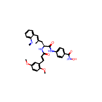 C=Nc1ccccc1/C=C(\C)C[C@H](NC(=O)/C=C/c1cc(OC)ccc1OC)C(=O)Nc1ccc(C(=O)NO)cc1